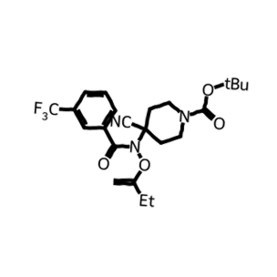 C=C(CC)ON(C(=O)c1cccc(C(F)(F)F)c1)C1(C#N)CCN(C(=O)OC(C)(C)C)CC1